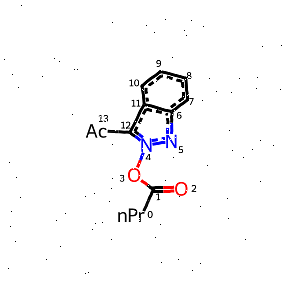 CCCC(=O)On1nc2ccccc2c1C(C)=O